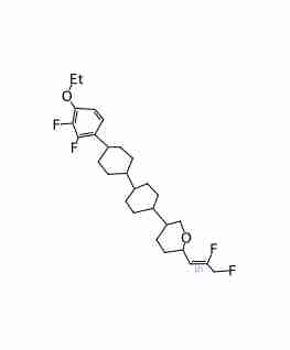 CCOc1ccc(C2CCC(C3CCC(C4CCC(/C=C(\F)CF)OC4)CC3)CC2)c(F)c1F